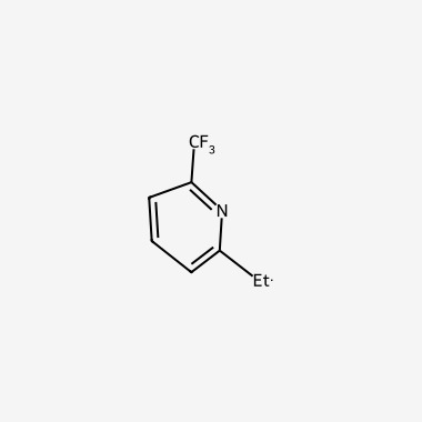 C[CH]c1cccc(C(F)(F)F)n1